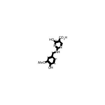 COc1cc(CNc2ncc(C(=O)O)c(O)n2)ccc1O